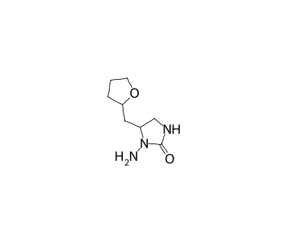 NN1C(=O)NCC1CC1CCCO1